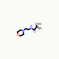 CC(C)[C@H]([C]=O)C(=O)NCCN1CCOCC1